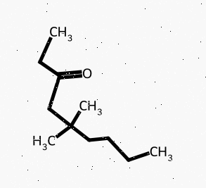 CCCCC(C)(C)CC(=O)CC